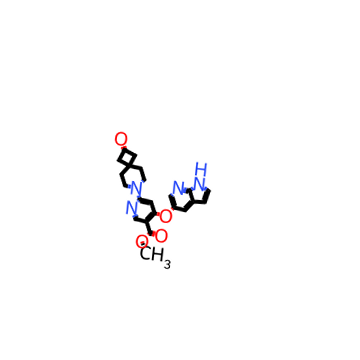 COC(=O)c1cnc(N2CCC3(CC2)CC(=O)C3)cc1Oc1cnc2[nH]ccc2c1